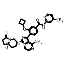 Nc1nccn2c([C@@H]3CC[C@H]4CCC(=O)N4C3)nc(-c3ccc(C(=O)Nc4cc(C(F)(F)F)ccn4)cc3OC3CCC3)c12